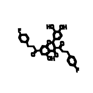 O=C(CCc1ccc(F)cc1)c1cc(O)c2c(=O)c(C(=O)CCc3ccc(F)cc3)c(-c3ccc(O)c(O)c3)oc2c1